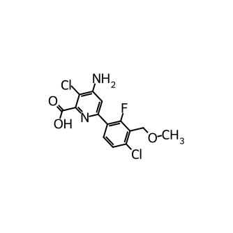 COCc1c(Cl)ccc(-c2cc(N)c(Cl)c(C(=O)O)n2)c1F